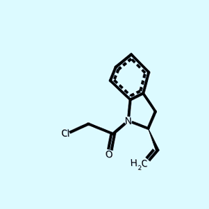 C=C[C@@H]1Cc2ccccc2N1C(=O)CCl